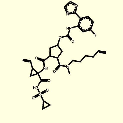 C=CCCCCN(C)C(=O)C1CC(OC(=O)Nc2cc(F)ccc2-c2nccs2)CC1C(=O)NC1(C(=O)NS(=O)(=O)C2CC2)CC1C=C